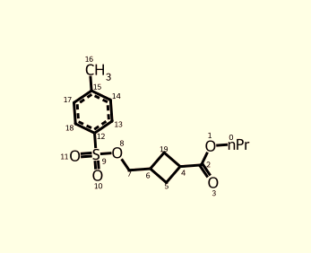 CCCOC(=O)C1CC(COS(=O)(=O)c2ccc(C)cc2)C1